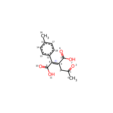 CC(=O)C/C(C(=O)O)=C(\C(=O)O)c1ccc(C)cc1